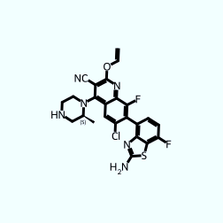 C=COc1nc2c(F)c(-c3ccc(F)c4sc(N)nc34)c(Cl)cc2c(N2CCNC[C@@H]2C)c1C#N